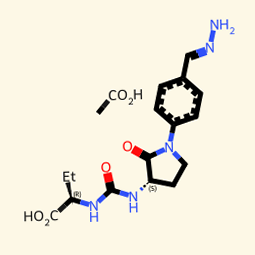 CC(=O)O.CC[C@@H](NC(=O)N[C@H]1CCN(c2ccc(C=NN)cc2)C1=O)C(=O)O